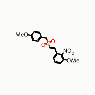 COc1ccc(CS(=O)(=O)/C=C/c2cccc(OC)c2[N+](=O)[O-])cc1